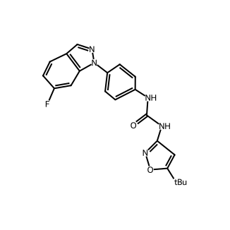 CC(C)(C)c1cc(NC(=O)Nc2ccc(-n3ncc4ccc(F)cc43)cc2)no1